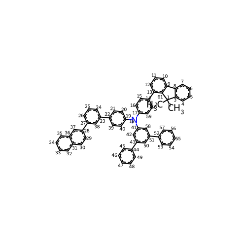 CC1(C)c2ccccc2-c2cccc(-c3ccc(N(c4ccc(-c5cccc(-c6ccc7ccccc7c6)c5)cc4)c4cc(-c5ccccc5)cc(-c5ccccc5)c4)cc3)c21